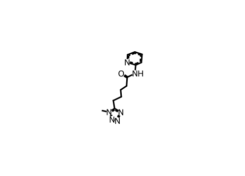 Cn1nnnc1CCCCC(=O)Nc1ccccn1